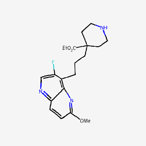 CCOC(=O)C1(CCCc2c(F)cnc3ccc(OC)nc23)CCNCC1